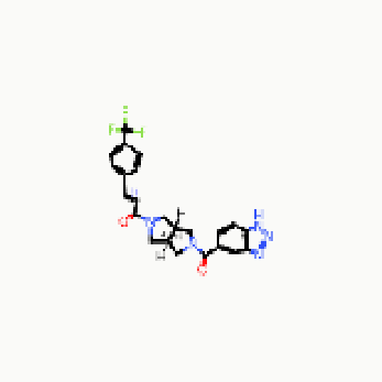 O=C(/C=C/c1ccc(C(F)(F)F)cc1)N1C[C@@H]2CN(C(=O)c3ccc4[nH]nnc4c3)C[C@H]2C1